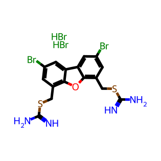 Br.Br.N=C(N)SCc1cc(Br)cc2c1oc1c(CSC(=N)N)cc(Br)cc12